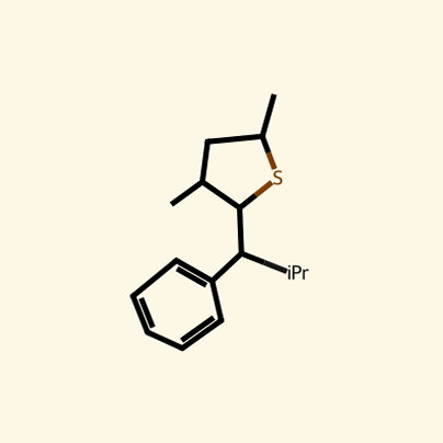 CC1CC(C)C(C(c2ccccc2)C(C)C)S1